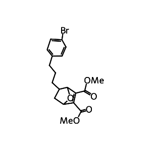 COC(=O)C1=C(C(=O)OC)C2OC1CC2CCCc1ccc(Br)cc1